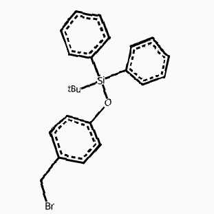 CC(C)(C)[Si](Oc1ccc(CBr)cc1)(c1ccccc1)c1ccccc1